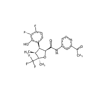 CC(=O)c1cc(NC(=O)[C@H]2O[C@@](C)(C(F)(F)F)[C@@H](C)[C@H]2c2ccc(F)c(F)c2O)ccn1